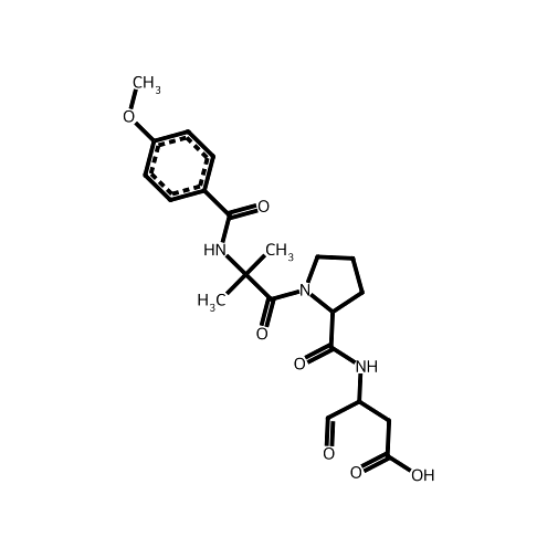 COc1ccc(C(=O)NC(C)(C)C(=O)N2CCCC2C(=O)NC(C=O)CC(=O)O)cc1